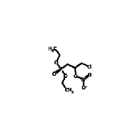 CCOP(=O)(CC(CCl)O[N+](=O)[O-])OCC